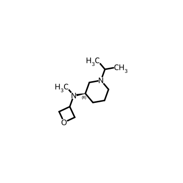 CC(C)N1CCC[C@@H](N(C)C2COC2)C1